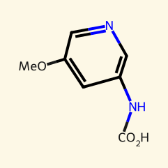 COc1cncc(NC(=O)O)c1